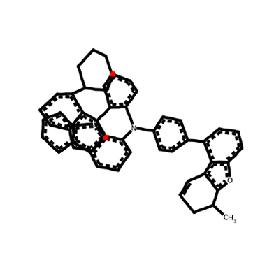 CC1CC=Cc2c1oc1cccc(-c3ccc(N(c4ccccc4-c4cccc5cccc(C6CCCCC6)c45)c4cccc5c4sc4ccccc45)cc3)c21